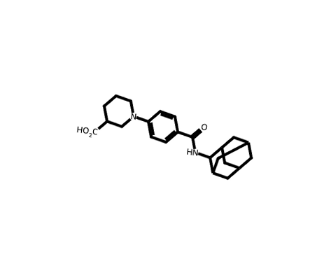 O=C(NC1C2CC3CC(C2)CC1C3)c1ccc(N2CCCC(C(=O)O)C2)cc1